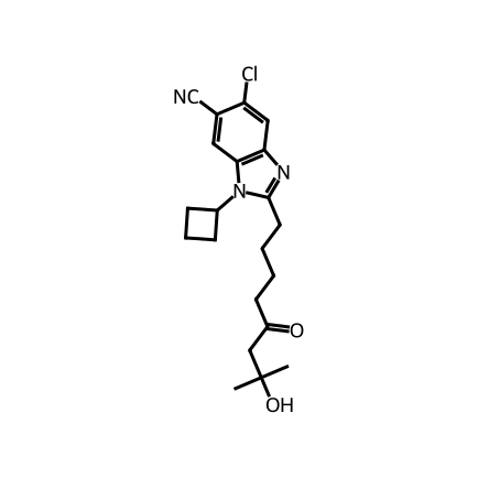 CC(C)(O)CC(=O)CCCCc1nc2cc(Cl)c(C#N)cc2n1C1CCC1